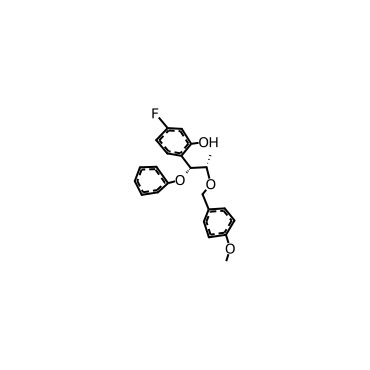 COc1ccc(CO[C@@H](C)[C@H](Oc2ccccc2)c2ccc(F)cc2O)cc1